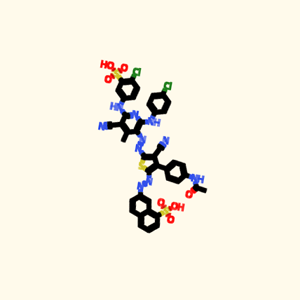 CC(=O)Nc1ccc(-c2c(N=Nc3ccc4cccc(S(=O)(=O)O)c4c3)sc(N=Nc3c(Nc4ccc(Cl)cc4)nc(Nc4ccc(Cl)c(S(=O)(=O)O)c4)c(C#N)c3C)c2C#N)cc1